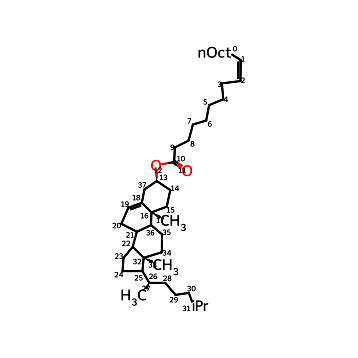 CCCCCCCC/C=C\CCCCCCCC(=O)O[C@H]1CC[C@@]2(C)C(=CCC3C4CCC([C@H](C)CCCC(C)C)[C@@]4(C)CCC32)C1